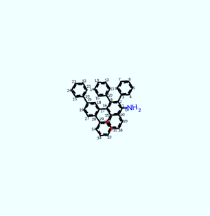 Nc1c(-c2ccccc2)c(-c2ccccc2)c(-c2cc(-c3ccccc3)ccc2-c2ccccc2)c2ccccc12